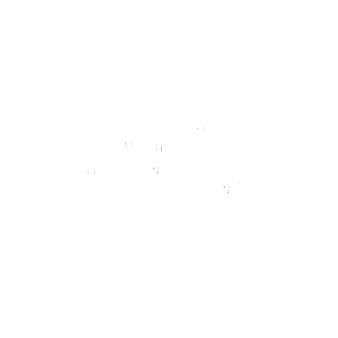 CCN(Cc1cc([N+](=O)[O-])cc(Cl)c1O)c1ccc(F)c(Cl)c1